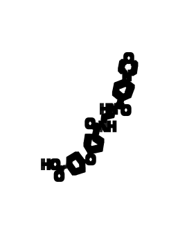 O=C(NCCNC(=O)c1ccc(N2CCOCC2)cc1)c1ccc(O[C@H]2CC[C@@H](C(=O)O)CC2)cc1